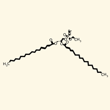 CCCCCCCCCCCCCC=CC=CC(=O)OC[C@H](COP(=O)(OBr)OCC)OC(=O)C=CC=CCCCCCCCCCCCCC